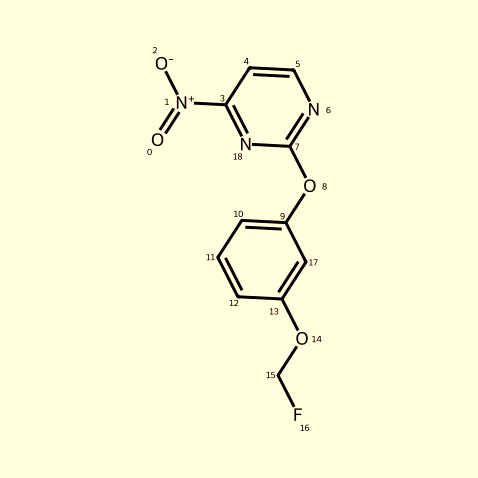 O=[N+]([O-])c1ccnc(Oc2cccc(OCF)c2)n1